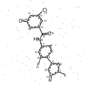 Cc1nc(-c2ccc(NC(=O)c3cc(Cl)cc(Cl)c3)cc2F)c[nH]1